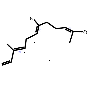 C=C/C(C)=C/C/C=C(\CC)CC/C=C(\C)CC